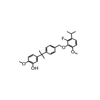 COc1ccc(C(C)(C)c2ccc(COc3c(OC)ccc(C(C)C)c3F)cc2)cc1O